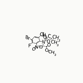 COC(=O)CN(C(=O)OC(C)(C)C)c1c(Cl)cc(Br)c(F)c1[N+](=O)[O-]